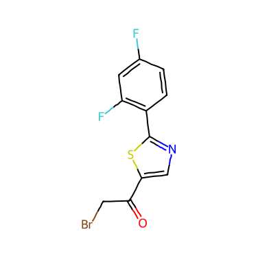 O=C(CBr)c1cnc(-c2ccc(F)cc2F)s1